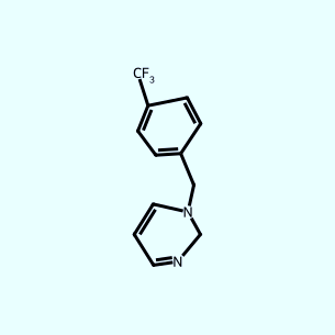 FC(F)(F)c1ccc(CN2C=CC=NC2)cc1